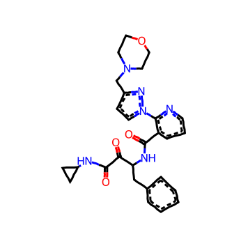 O=C(NC1CC1)C(=O)C(Cc1ccccc1)NC(=O)c1cccnc1-n1ccc(CN2CCOCC2)n1